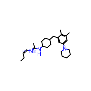 CC/C=C\N=C(/C)NC1CCC(Cc2cc(N3CCCCC3)cc(C)c2C)CC1